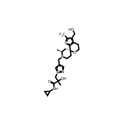 C[C@H]1C[C@@]2(CCN1Cc1cnn(CC(C)(O)C(=O)NC3CC3)c1)OCCc1c2sc(C(F)(F)F)c1CO